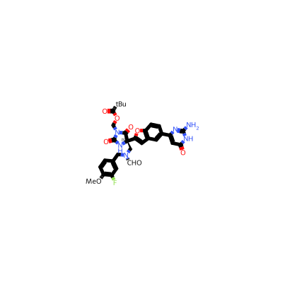 COc1ccc(CN(C=O)C[C@@]2(c3cc4cc(-c5cc(=O)[nH]c(N)n5)ccc4o3)NC(=O)N(COC(=O)C(C)(C)C)C2=O)cc1F